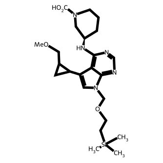 COCC1CC1c1cn(COCC[Si](C)(C)C)c2ncnc(N[C@@H]3CCCN(C(=O)O)C3)c12